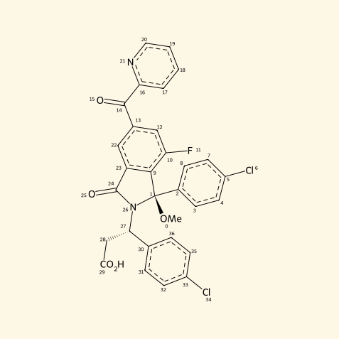 CO[C@]1(c2ccc(Cl)cc2)c2c(F)cc(C(=O)c3ccccn3)cc2C(=O)N1[C@@H](CC(=O)O)c1ccc(Cl)cc1